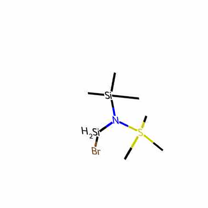 C[Si](C)(C)N([SiH2]Br)S(C)(C)C